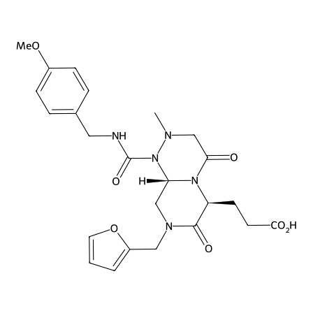 COc1ccc(CNC(=O)N2[C@H]3CN(Cc4ccco4)C(=O)[C@H](CCC(=O)O)N3C(=O)CN2C)cc1